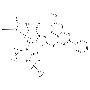 COc1ccc2c(OC3CC(C(=O)N(C(=O)NS(=O)(=O)C4CC4)C4CC45CC5)N(C(=O)C(NC(=O)OC(C)(C)C)C(C)(C)C)C3)cc(-c3ccccc3)nc2c1